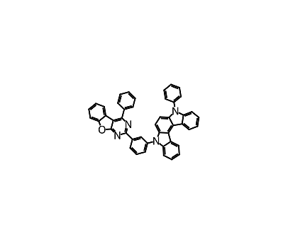 c1ccc(-c2nc(-c3cccc(-n4c5ccccc5c5c6c7ccccc7n(-c7ccccc7)c6ccc54)c3)nc3oc4ccccc4c23)cc1